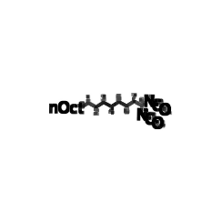 CCCCCCCCCCCCCCCC(N=C=O)N=C=O